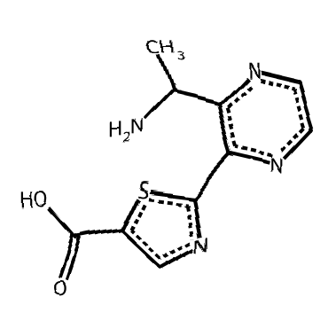 CC(N)c1nccnc1-c1ncc(C(=O)O)s1